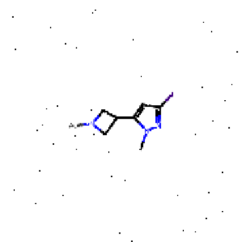 CC(=O)N1CC(c2cc(I)nn2C)C1